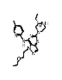 CCOCCn1ncc2nc(N3CCN[C@H](CC)C3)nc(Nc3ccc(C)cn3)c21